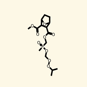 COC(=O)C1C2CCC(O2)C1C(=O)OCP(C)(=O)OCOOC(C)C